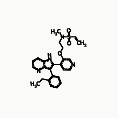 C=CS(=O)(=O)N(C)CCOc1cnccc1-c1[nH]c2cccnc2c1-c1ccccc1CC